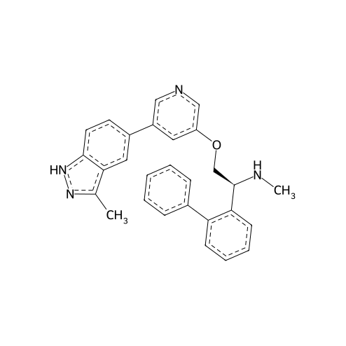 CN[C@H](COc1cncc(-c2ccc3[nH]nc(C)c3c2)c1)c1ccccc1-c1ccccc1